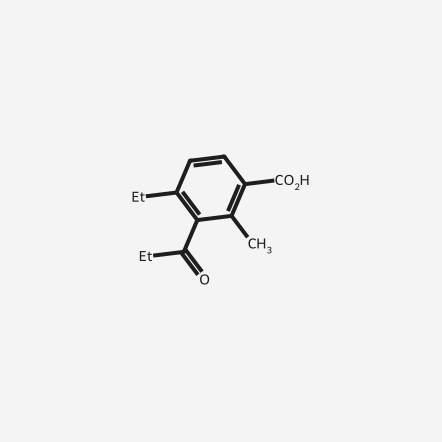 CCC(=O)c1c(CC)ccc(C(=O)O)c1C